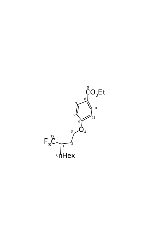 CCCCCCC(CCOc1ccc(C(=O)OCC)cc1)C(F)(F)F